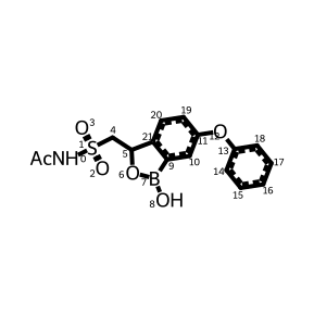 CC(=O)NS(=O)(=O)CC1OB(O)c2cc(Oc3ccccc3)ccc21